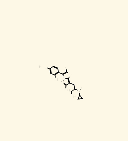 CCC(Cc1c(C)nn2c(-c3ccc(C)cc3Cl)c(C)oc12)N(C)C1CC1